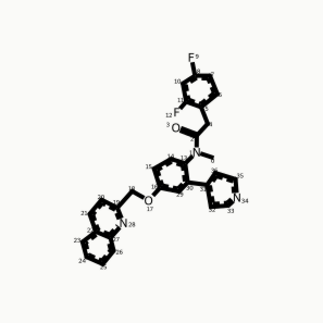 CN(C(=O)Cc1ccc(F)cc1F)c1ccc(OCc2ccc3ccccc3n2)cc1-c1ccncc1